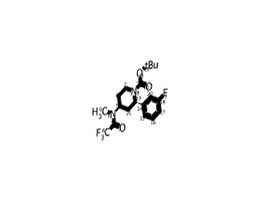 CN(C(=O)C(F)(F)F)[C@H]1CCN(C(=O)OC(C)(C)C)[C@H](c2cccc(F)c2)C1